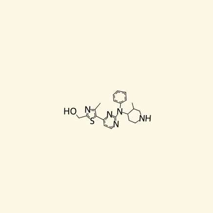 Cc1nc(CO)sc1-c1ccnc(N(c2ccccc2)C2CCNCC2C)n1